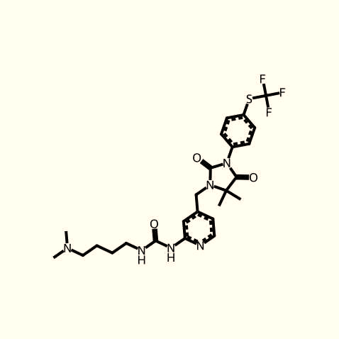 CN(C)CCCCNC(=O)Nc1cc(CN2C(=O)N(c3ccc(SC(F)(F)F)cc3)C(=O)C2(C)C)ccn1